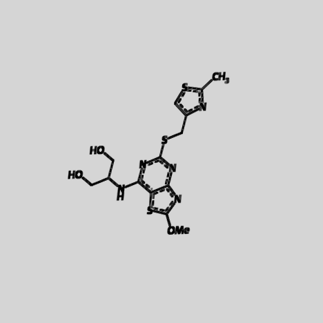 COc1nc2nc(SCc3csc(C)n3)nc(NC(CO)CO)c2s1